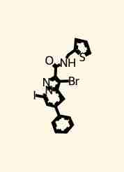 O=C(NCc1cccs1)c1nn2c(I)cc(-c3ccccc3)cc2c1Br